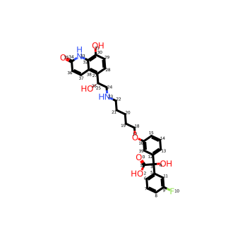 O=C(O)C(O)(c1cccc(F)c1)c1cccc(OCCCCCNC[C@H](O)c2ccc(O)c3[nH]c(=O)ccc23)c1